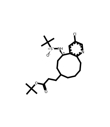 CC(C)(C)OC(=O)CCC1CCCCc2ncc(Cl)cc2[C@H](N[S@+]([O-])C(C)(C)C)CC1